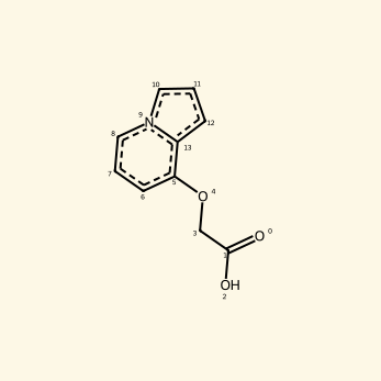 O=C(O)COc1cccn2cccc12